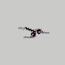 CCCCCON1CCC(OC(=O)C(CCCCCCCC(=O)O)C2CCN(OCCCCC)C(C)(C)C2(C)C)C(C)(C)C1(C)C